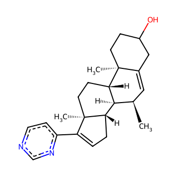 C[C@@H]1C=C2CC(O)CC[C@]2(C)[C@H]2CC[C@]3(C)C(c4ccncn4)=CC[C@H]3[C@H]12